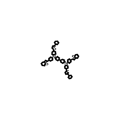 c1ccc(-c2ccc(-c3ccc(N(c4ccc(-c5ccc(N(c6ccc(-c7ccc(-c8ccccc8)s7)cc6)c6ccc(-c7cc8ccccc8s7)cc6)cc5)cc4)c4ccc(-c5cc6ccccc6s5)cc4)cc3)s2)cc1